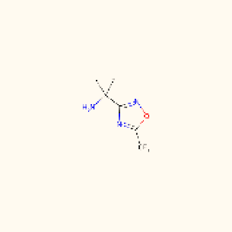 NC1(c2noc(C(F)(F)F)n2)CC1